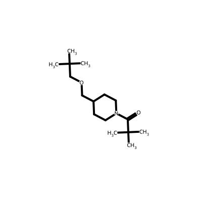 CC(C)(C)COCC1CCN(C(=O)C(C)(C)C)CC1